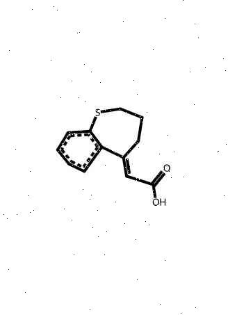 O=C(O)/C=C1\CCCSc2ccccc21